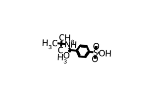 CC(C)(C)NC(=O)c1ccc(S(=O)(=O)O)cc1